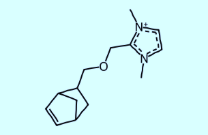 Cn1cc[n+](C)c1COCC1CC2C=CC1C2